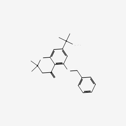 CCCCCCC(C)(C)c1cc(OCc2ccccc2)c2c(c1)OC(C)(C)CC2=O